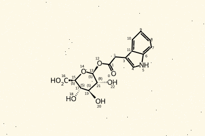 O=C(Cc1c[nH]c2ccccc12)O[C@@H]1O[C@H](C(=O)O)[C@@H](O)[C@H](O)[C@H]1O